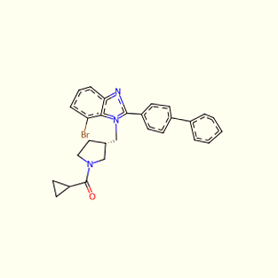 O=C(C1CC1)N1CC[C@H](Cn2c(-c3ccc(-c4ccccc4)cc3)nc3cccc(Br)c32)C1